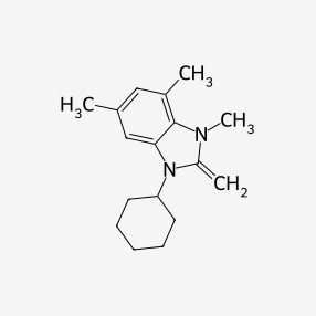 C=C1N(C)c2c(C)cc(C)cc2N1C1CCCCC1